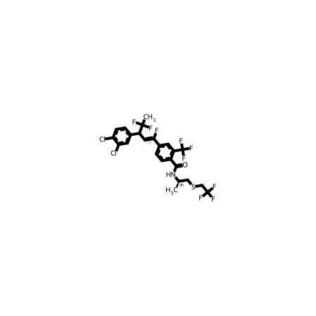 C[C@H](CSCC(F)(F)F)NC(=O)c1ccc(/C(F)=C/C(c2ccc(Cl)c(Cl)c2)C(C)(F)F)cc1C(F)(F)F